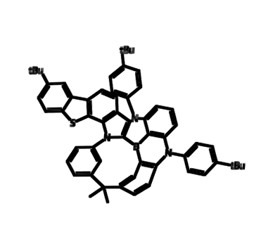 CC(C)(C)c1ccc(N2c3ccc4cc3B3c5c2cccc5N(c2ccc(C(C)(C)C)cc2)c2c3n(c3c2ccc2c5cc(C(C)(C)C)ccc5sc23)-c2cccc(c2)C4(C)C)cc1